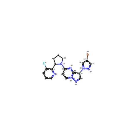 Fc1cccnc1C1CCCN1c1ccn2ncc(-n3cc(Br)cn3)c2n1